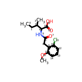 CCC(C)C(NC(=O)Cc1c(Cl)cccc1OC)C(=O)O